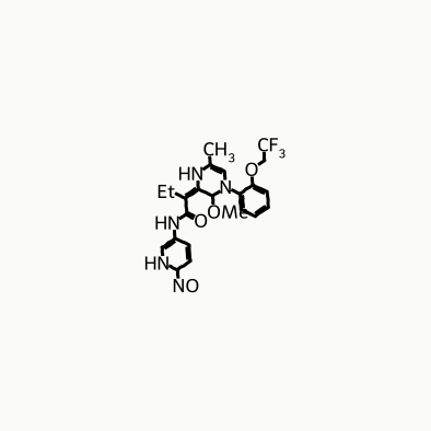 CC/C(C(=O)NC1=CNC(N=O)C=C1)=C1\NC(C)=CN(c2ccccc2OCC(F)(F)F)C1OC